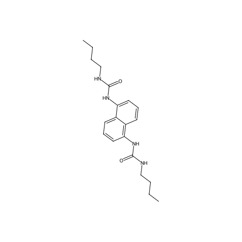 CCCCNC(=O)Nc1cccc2c(NC(=O)NCCCC)cccc12